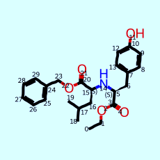 CCOC(=O)[C@H](Cc1ccc(O)cc1)N[C@@H](CC(C)C)C(=O)OCc1ccccc1